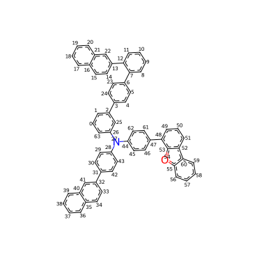 c1cc(-c2ccc(-c3ccccc3-c3ccc4ccccc4c3)cc2)cc(N(c2ccc(-c3ccc4ccccc4c3)cc2)c2ccc(-c3cccc4c3oc3ccccc34)cc2)c1